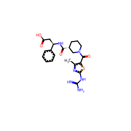 Cc1nc(NC(=N)N)sc1C(=O)N1CCC[C@@H](C(=O)N[C@H](CC(=O)O)c2ccccc2)C1